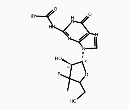 CC(C)C(=O)Nc1nc2c(ncn2[C@@H]2OC(CO)C(F)(F)[C@H]2O)c(=O)[nH]1